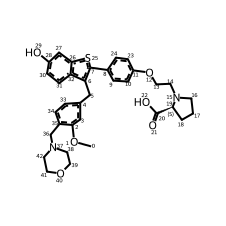 COc1cc(Cc2c(-c3ccc(OCCN4CCC[C@H]4C(=O)O)cc3)sc3cc(O)ccc23)ccc1CN1CCOCC1